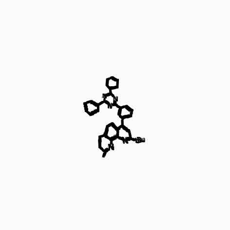 Cc1ccc2ccc3c(-c4cccc(-c5nc(-c6ccccc6)nc(-c6ccccc6)n5)c4)cc(C(C)(C)C)nc3c2n1